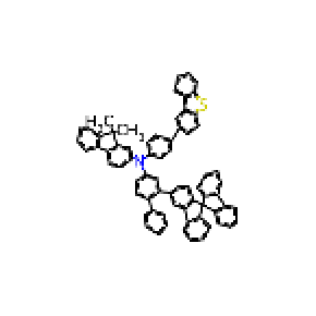 CC1(C)c2ccccc2-c2ccc(N(c3ccc(-c4ccc5sc6ccccc6c5c4)cc3)c3ccc(-c4ccccc4)c(-c4ccc5c(c4)-c4ccccc4C54c5ccccc5-c5ccccc54)c3)cc21